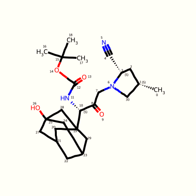 C[C@H]1C[C@@H](C#N)N(CC(=O)[C@@H](NC(=O)OC(C)(C)C)C23CC4CC(CC(O)(C4)C2)C3)C1